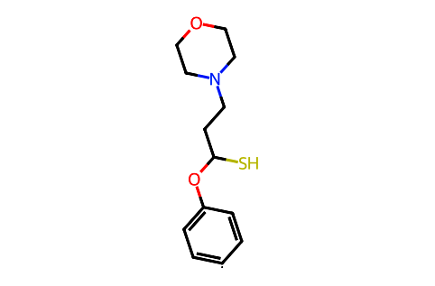 SC(CCN1CCOCC1)Oc1cc[c]cc1